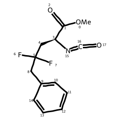 COC(=O)[C@H](CC(F)(F)Cc1ccccc1)N=C=O